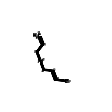 C=C[CH2][Pd][CH2]C=CCl